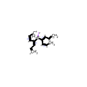 C=C/C=C(\C=C/C)B(I)C(/C=C\C)=C/C=C